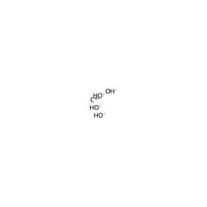 [C+4].[OH-].[OH-].[OH-].[OH-]